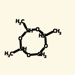 C[SiH]1O[SiH2]O[SiH](C)O[SiH](C)O1